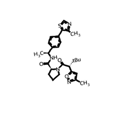 Cc1cc([C@H](C(=O)N2CCC[C@H]2C(=O)N[C@@H](C)c2ccc(-c3scnc3C)cc2)C(C)(C)C)on1